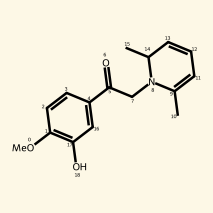 COc1ccc(C(=O)CN2C(C)=CC=CC2C)cc1O